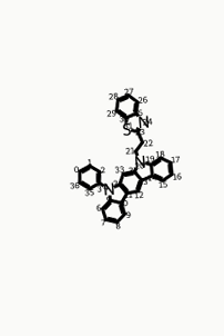 c1ccc(-n2c3ccccc3c3cc4c5ccccc5n(CCc5nc6ccccc6s5)c4cc32)cc1